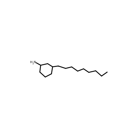 CCCCCCCC[CH]C1CCCC(N)C1